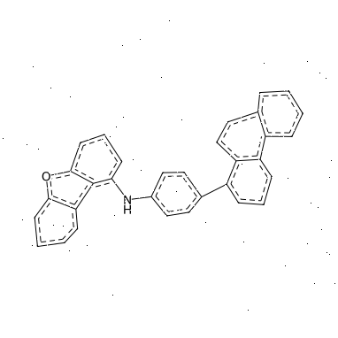 c1ccc2c(c1)ccc1c(-c3ccc(Nc4cccc5oc6ccccc6c45)cc3)cccc12